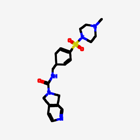 CN1CCN(S(=O)(=O)C2=CCC(CNC(=O)N3Cc4ccncc4C3)C=C2)CC1